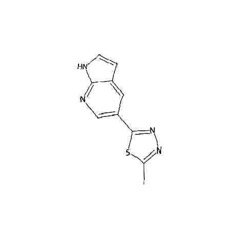 Cc1nnc(-c2cnc3[nH]ccc3c2)s1